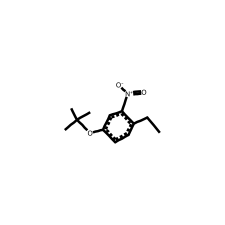 CCc1ccc(OC(C)(C)C)cc1[N+](=O)[O-]